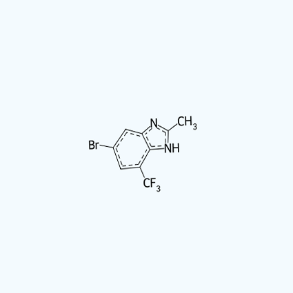 Cc1nc2cc(Br)cc(C(F)(F)F)c2[nH]1